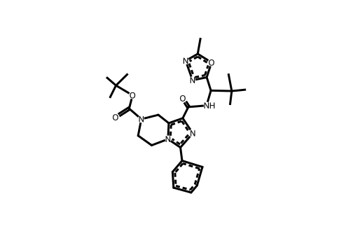 Cc1nnc(C(NC(=O)c2nc(-c3ccccc3)n3c2CN(C(=O)OC(C)(C)C)CC3)C(C)(C)C)o1